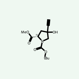 C#CC1(O)C[C@@H](C(=O)OC)N(C(=O)OC(C)(C)C)C1